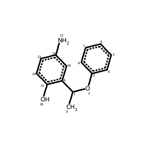 CC(Oc1ccccc1)c1cc(N)ccc1O